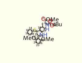 COC(=O)[C@@H](Cc1ccc2c(c1)C(Sc1ccccc1)CC(c1c(OC)cccc1OC)N2)NC(=O)OC(C)(C)C